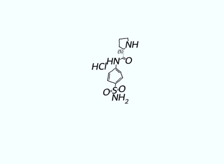 Cl.NS(=O)(=O)c1ccc(NC(=O)[C@@H]2CCCN2)cc1